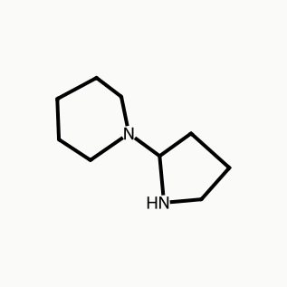 C1CCN(C2CCCN2)CC1